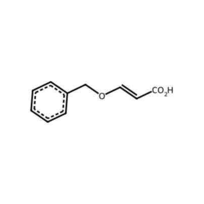 O=C(O)C=COCc1ccccc1